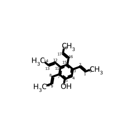 CC=Cc1cc(O)c(C=CC)c(C=CC)c1C=CC